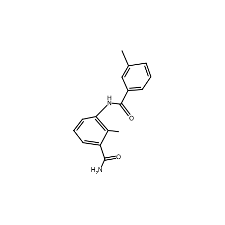 Cc1cccc(C(=O)Nc2cccc(C(N)=O)c2C)c1